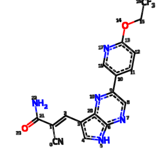 N#C/C(=C\c1c[nH]c2ncc(-c3ccc(OCC(F)(F)F)nc3)nc12)C(N)=O